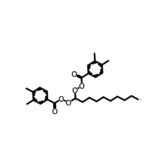 [CH2]CCCCCCCC[C](OOC(=O)c1ccc(C)c(C)c1)OOC(=O)c1ccc(C)c(C)c1